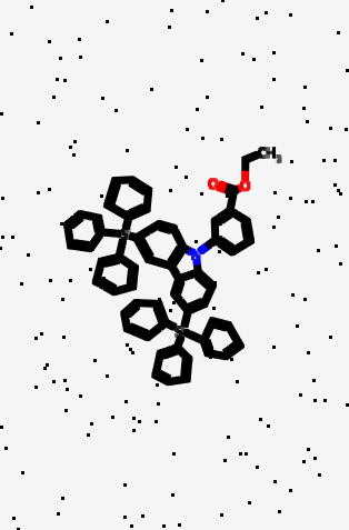 CCOC(=O)c1cccc(-n2c3ccc([Si](c4ccccc4)(c4ccccc4)c4ccccc4)cc3c3cc([Si](c4ccccc4)(c4ccccc4)c4ccccc4)ccc32)c1